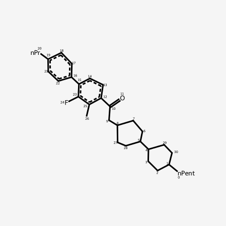 CCCCCC1CCC(C2CCC(CC(=O)c3ccc(-c4ccc(CCC)cc4)c(F)c3C)CC2)CC1